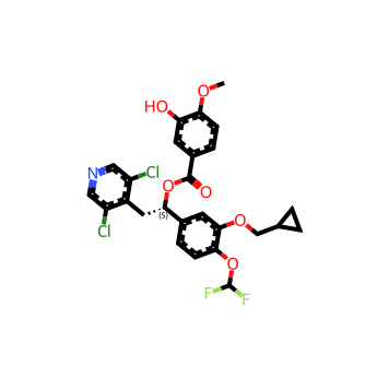 COc1ccc(C(=O)O[C@@H](Cc2c(Cl)cncc2Cl)c2ccc(OC(F)F)c(OCC3CC3)c2)cc1O